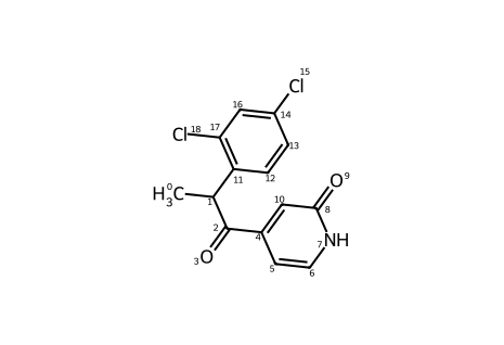 CC(C(=O)c1cc[nH]c(=O)c1)c1ccc(Cl)cc1Cl